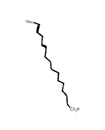 CCCCCCCCCCC=CCC=CCCCCCCCCCC(=O)O